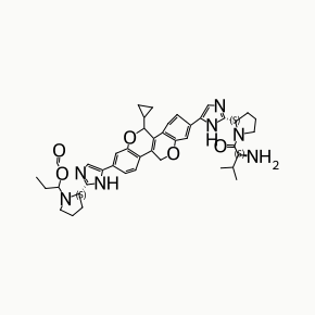 CCC(OC=O)N1CCC[C@H]1c1ncc(-c2ccc3c(c2)OC(C2CC2)C2=C3COc3cc(-c4cnc([C@@H]5CCCN5C(=O)[C@@H](N)C(C)C)[nH]4)ccc32)[nH]1